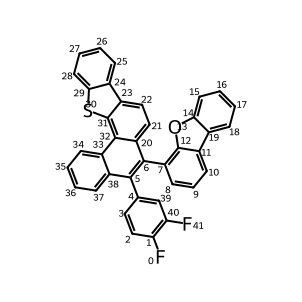 Fc1ccc(-c2c(-c3cccc4c3oc3ccccc34)c3ccc4c5ccccc5sc4c3c3ccccc23)cc1F